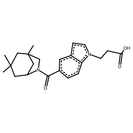 CC1(C)CC2CC(C)(CN2C(=O)c2ccc3c(ccn3CCC(=O)O)c2)C1